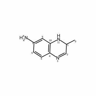 CC1C=Nc2ccc(N)cc2N1